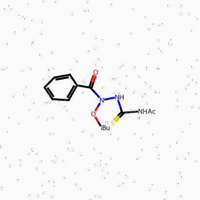 CCC(C)ON(NC(=S)NC(C)=O)C(=O)c1ccccc1